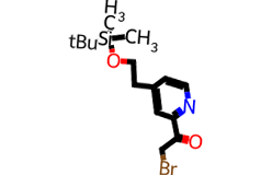 CC(C)(C)[Si](C)(C)OCCc1ccnc(C(=O)CBr)c1